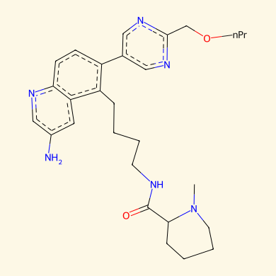 CCCOCc1ncc(-c2ccc3ncc(N)cc3c2CCCCNC(=O)C2CCCCN2C)cn1